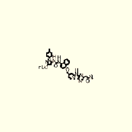 CCCCc1cc(NC(=O)Nc2ccc(OCc3ccnc(Nc4cncc(CC(=O)N(C)C)n4)c3)c3ccccc23)n(-c2ccc(C)cc2)n1